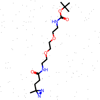 CC1(CCC(=O)NCCOCCOCCNC(=O)OC(C)(C)C)N=N1